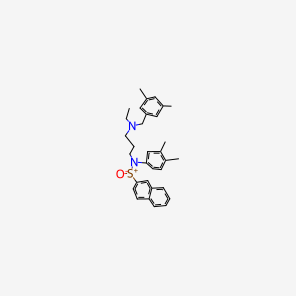 CCN(CCCN(c1ccc(C)c(C)c1)[S+]([O-])c1ccc2ccccc2c1)Cc1cc(C)cc(C)c1